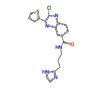 O=C(NCCCc1ncc[nH]1)c1ccc2nc(Cl)c(-c3cccs3)nc2c1